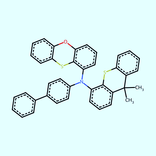 CC1(C)c2ccccc2Sc2c(N(c3ccc(-c4ccccc4)cc3)c3cccc4c3Sc3ccccc3O4)cccc21